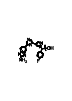 CC(C)(O)C(c1ccc(F)cc1)n1cc(-c2cncc(-c3ccn4nc(N)nc4c3)n2)cn1